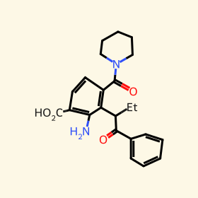 CCC(C(=O)c1ccccc1)c1c(C(=O)N2CCCCC2)ccc(C(=O)O)c1N